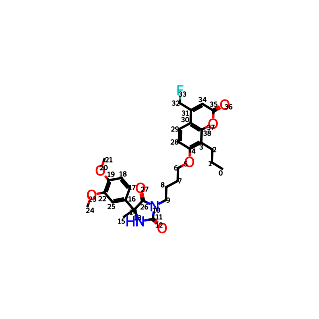 CCCc1c(OCCCCN2C(=O)NC(C)(c3ccc(OC)c(OC)c3)C2=O)ccc2c(CF)cc(=O)oc12